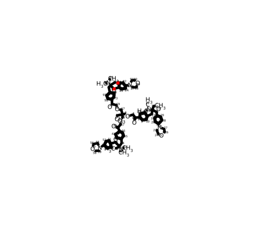 CCC(COCC(=O)c1ccc(CC(CC)(C(=O)c2ccc(N3CCOCC3)cc2)N(C)C)cc1)(COCC(=O)c1ccc(CC(CC)(C(=O)c2ccc(N3CCOCC3)cc2)N(C)C)cc1)COCC(=O)c1ccc(CC(CC)(C(=O)c2ccc(N3CCOCC3)cc2)N(C)C)cc1